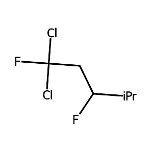 CC(C)C(F)CC(F)(Cl)Cl